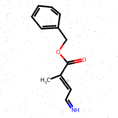 C/C(=C\C=N)C(=O)OCc1ccccc1